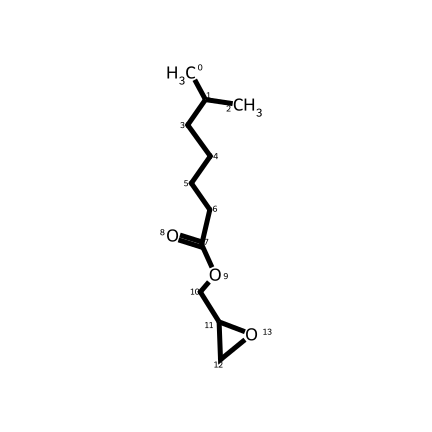 CC(C)CCCCC(=O)OCC1CO1